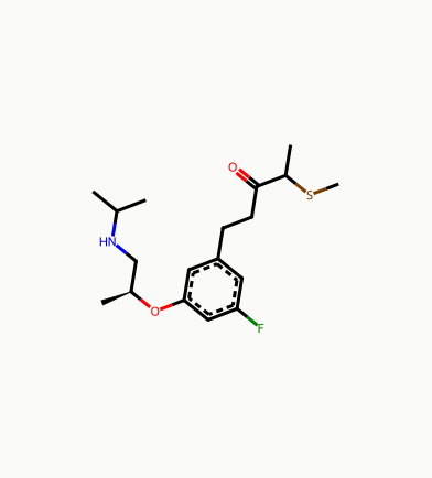 CSC(C)C(=O)CCc1cc(F)cc(O[C@@H](C)CNC(C)C)c1